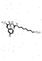 CC(=Cc1cccc(Cl)c1)S(=O)(=O)NC(=O)NCCCCCCCC(=O)O